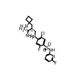 C[C@@H](N)[C@H](CNc1cc(F)c(S(=O)(=O)Nc2cccc(F)n2)cc1Cl)CC1(N)CCC1